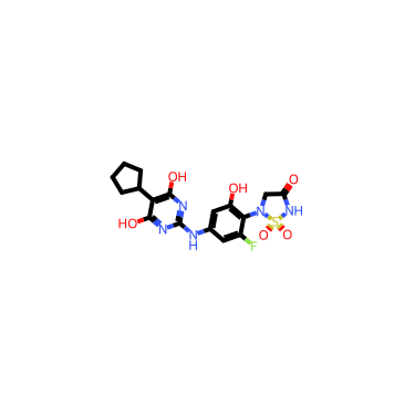 O=C1CN(c2c(O)cc(Nc3nc(O)c(C4CCCC4)c(O)n3)cc2F)S(=O)(=O)N1